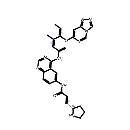 C=C(/C=C(C)\C(=C/C)Oc1cc2nncn2cn1)Nc1ncnc2ccc(NC(=O)/C=C/[C@@H]3CCCN3)cc12